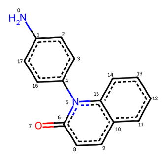 Nc1ccc(-n2c(=O)ccc3ccccc32)cc1